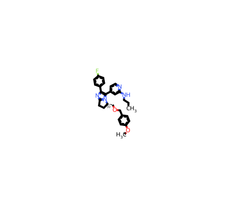 CCCNc1cc(-c2c(-c3ccc(F)cc3)nc3n2[C@H](COCc2ccc(OC)cc2)CC3)ccn1